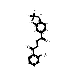 Cc1ccccc1C(=O)CCC(=O)c1ccc2c(c1)OC(F)(F)O2